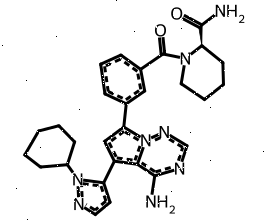 NC(=O)[C@H]1CCCCN1C(=O)c1cccc(-c2cc(-c3ccnn3C3CCCCC3)c3c(N)ncnn23)c1